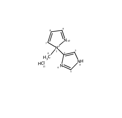 C[N+]1(c2c[nH]cn2)C=CC=N1.Cl